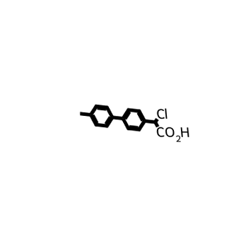 Cc1ccc(-c2ccc(C(Cl)C(=O)O)cc2)cc1